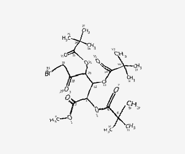 COC(=O)C(OC(=O)C(C)(C)C)C(OC(=O)C(C)(C)C)C(OC(=O)C(C)(C)C)C(=O)CBr